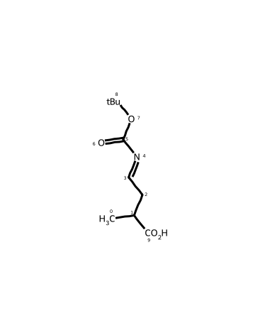 CC(CC=NC(=O)OC(C)(C)C)C(=O)O